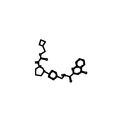 O=C(N[C@@H]1CCCN(c2ccc(CNC(=O)c3cc(=O)n4ccccc4n3)cc2)C1)OCC1CCC1